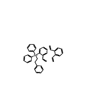 C=Cc1cccc[c]1[Sn]([CH2]Cc1ccccc1)([c]1ccccc1)[c]1ccccc1.C=Cc1ccccc1C=C